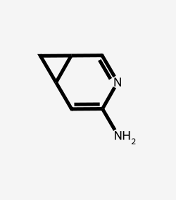 NC1=CC2CC2C=N1